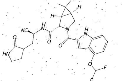 CC1(C)[C@@H]2[C@@H](C(=O)N[C@H](C#N)CC3CCNC3=O)N(C(=O)c3cc4c(OC(F)F)cccc4[nH]3)C[C@@H]21